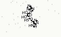 O[C@@H]1[C@H](O)[C@@H](C(S)OSc2ncnc3nc[nH]c23)O[C@H]1n1cnc2cncnc21